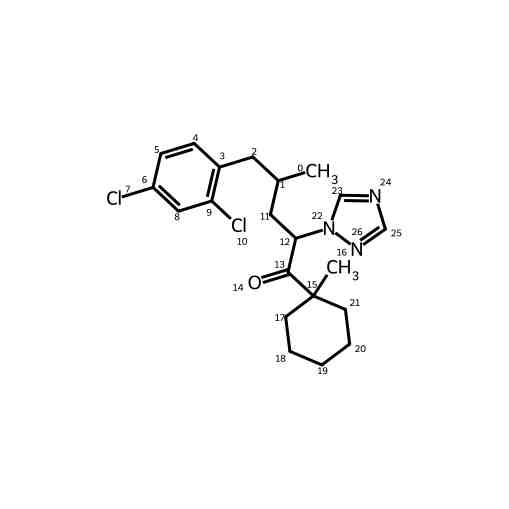 CC(Cc1ccc(Cl)cc1Cl)CC(C(=O)C1(C)CCCCC1)n1cncn1